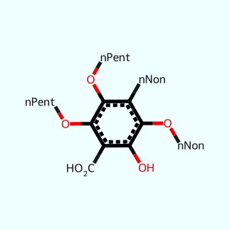 CCCCCCCCCOc1c(O)c(C(=O)O)c(OCCCCC)c(OCCCCC)c1CCCCCCCCC